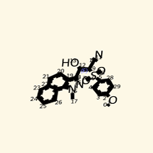 COc1ccc(S(=O)(=O)/C(C#N)=C(/O)c2nn(C)c3c2ccc2ccccc23)cc1